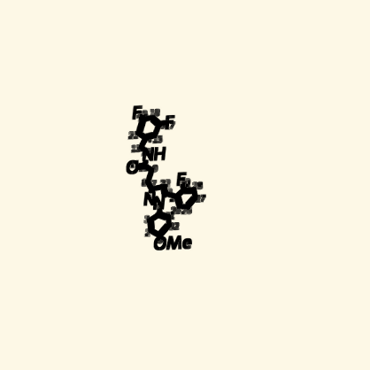 COc1ccc(-n2nc(CCC(=O)NCc3cc(F)cc(F)c3)cc2-c2ccccc2F)cc1